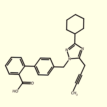 CC#CCc1nc(C2CCCCC2)nn1Cc1ccc(-c2ccccc2C(=O)O)cc1